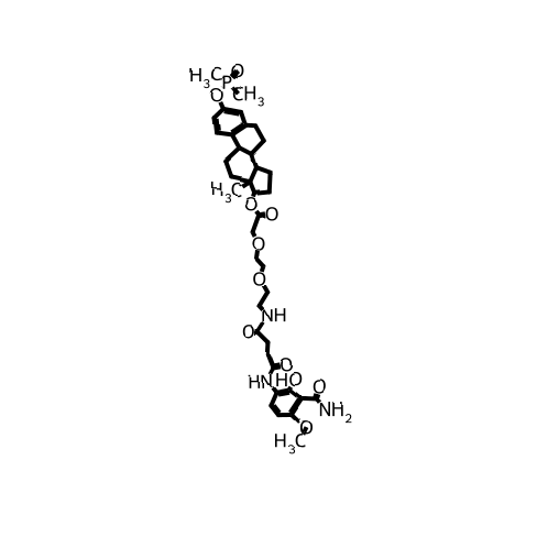 COc1ccc(NC(=O)CCC(=O)NCCOCCOCC(=O)OC2CCC3C4CCc5cc(OP(C)(C)=O)ccc5C4CCC23C)c(O)c1C(N)=O